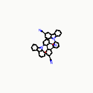 N#Cc1ccc(-c2c(C#N)cccc2-n2c3ccccc3c3ccccc32)c(-c2cccc(-n3c4ccccc4c4cc(C#N)ccc43)c2)c1